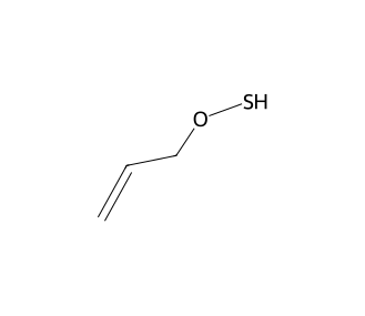 C=CCOS